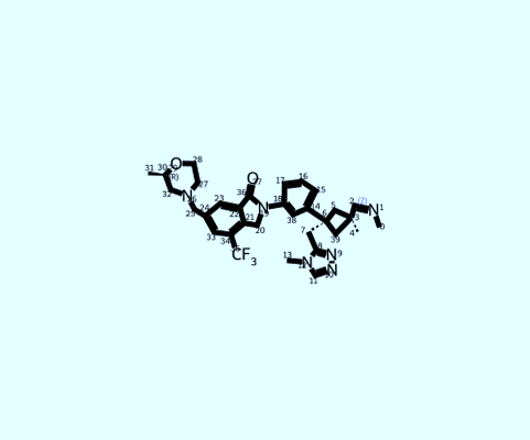 C/N=C\[C@]1(C)C[C@](Cc2nncn2C)(c2cccc(N3Cc4c(cc(CN5CCO[C@H](C)C5)cc4C(F)(F)F)C3=O)c2)C1